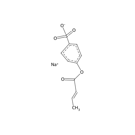 CC=CC(=O)Oc1ccc(S(=O)(=O)[O-])cc1.[Na+]